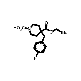 CC(C)(C)COC(=O)C1(Cc2ccc(F)cc2)CCN(C(=O)O)CC1